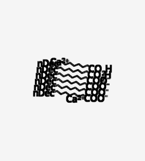 CCCCCCCCCCCCCCCCCC(=O)O.CCCCCCCCCCCCCCCCCC(=O)O.CCCCCCCCCCCCCCCCCC(=O)[O-].CCCCCCCCCCCCCCCCCC(=O)[O-].CCCCCCCCCCCCCCCCCC(=O)[O-].CCCCCCCCCCCCCCCCCC(=O)[O-].[Ca+2].[Ca+2]